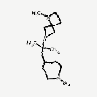 CN1CCC12CN(C(C)(C)CC1CCN(C(C)(C)C)CC1)C2